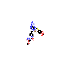 CCOC(=O)CNC(=O)N1CCC(CCn2cnc(N)c3nc(Sc4cc5c(cc4Br)OCO5)nc2-3)CC1